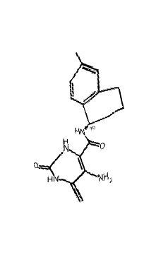 C=C1NC(=O)NC(C(=O)N[C@@H]2CCCc3cc(C)ccc32)=C1N